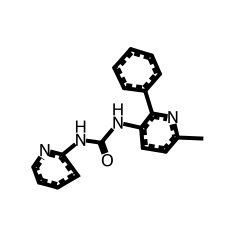 Cc1ccc(NC(=O)Nc2ccccn2)c(-c2ccccc2)n1